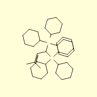 CC(C)=CC([PH](C1CCCCC1)(C1CCCCC1)C1CCCCC1)[PH](C1CCCCC1)(C1CCCCC1)C1CCCCC1